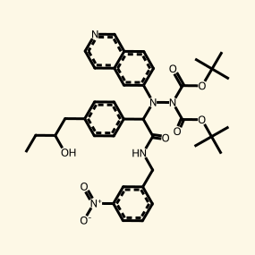 CCC(O)Cc1ccc(C(C(=O)NCc2cccc([N+](=O)[O-])c2)N(c2ccc3cnccc3c2)N(C(=O)OC(C)(C)C)C(=O)OC(C)(C)C)cc1